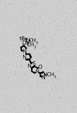 Cn1cc(N2CCc3nc(-c4ccc(N5CC[C@H](O[Si](C)(C)C(C)(C)C)C5)nc4)sc3C2=O)cn1